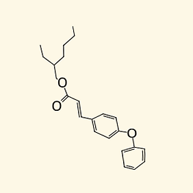 CCCCC(CC)COC(=O)C=Cc1ccc(Oc2ccccc2)cc1